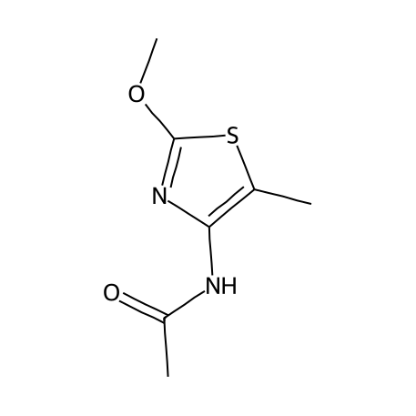 COc1nc(NC(C)=O)c(C)s1